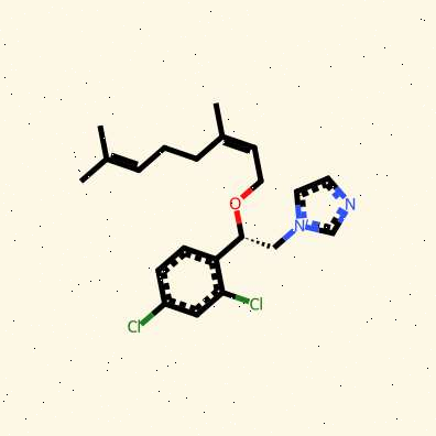 CC(C)=CCC/C(C)=C\CO[C@H](Cn1ccnc1)c1ccc(Cl)cc1Cl